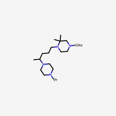 CSN1CCN(CCCC(C)N2CCN(C(C)C)CC2)C(C)(C)C1